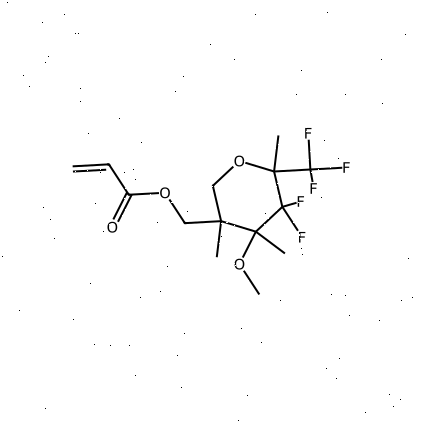 C=CC(=O)OCC1(C)COC(C)(C(F)(F)F)C(F)(F)C1(C)OC